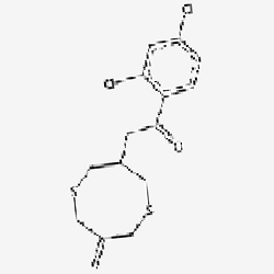 C=C1CSCC(CC(=O)c2ccc(Cl)cc2Cl)CSC1